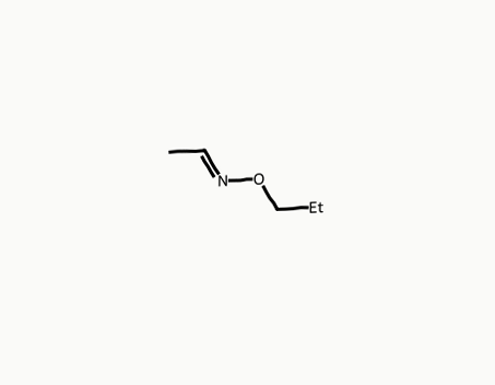 CC=NOCCC